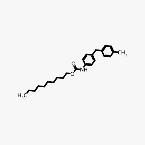 CCCCCCCCCCOC(=O)Nc1ccc(Cc2ccc(C)cc2)cc1